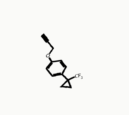 C#CCOc1ccc(C2(C(F)(F)F)CC2)cc1